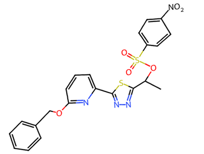 CC(OS(=O)(=O)c1ccc([N+](=O)[O-])cc1)c1nnc(-c2cccc(OCc3ccccc3)n2)s1